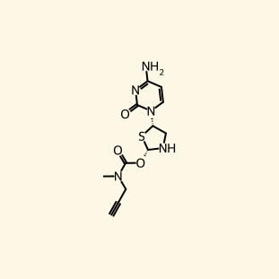 C#CCN(C)C(=O)O[C@H]1NC[C@@H](n2ccc(N)nc2=O)S1